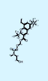 CCc1cc(S(F)(F)(F)(F)F)cc2c1O[C@H](C(F)(F)F)C(C(=O)OCO/N=[N+](\[O-])N(C)CCO)=C2